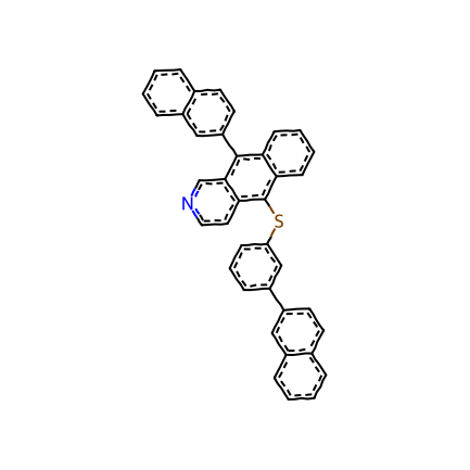 c1cc(Sc2c3ccccc3c(-c3ccc4ccccc4c3)c3cnccc23)cc(-c2ccc3ccccc3c2)c1